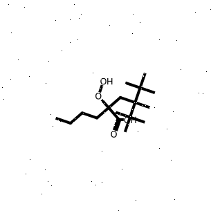 CCCCC(CC(C)(C(C)(C)C)C(C)(C)C)(OO)C(=O)O